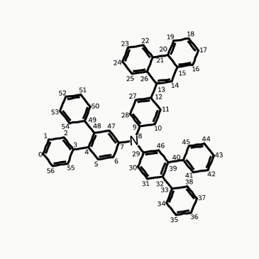 c1ccc(-c2ccc(N(c3ccc(-c4cc5ccccc5c5ccccc45)cc3)c3ccc(-c4ccccc4)c(-c4ccccc4)c3)cc2-c2ccccc2)cc1